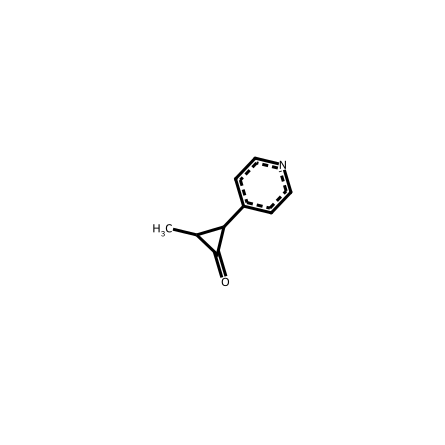 CC1C(=O)C1c1ccncc1